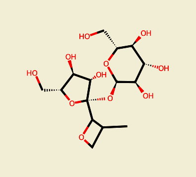 CC1COC1[C@@]1(O[C@H]2O[C@H](CO)[C@@H](O)[C@H](O)[C@H]2O)O[C@H](CO)[C@@H](O)[C@@H]1O